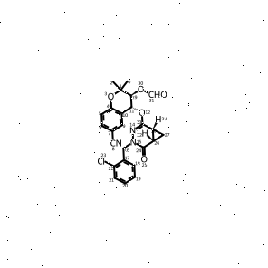 CC1(C)Oc2ccc(C#N)cc2[C@@H](OC2=NN(Cc3ccccc3Cl)C(=O)[C@H]3C[C@@H]23)[C@@H]1OC=O